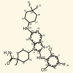 CC1(C(N)=O)CCC(n2c(Nc3c(Cl)cc(F)cc3Cl)nc3cnc(NC4CCC(F)(F)CC4)nc32)CC1